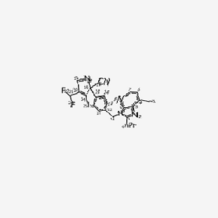 CCCc1nc2c(C)ccnc2n1Cc1ccc(C2(C#N)N=CC(C(F)F)=C2I)cc1